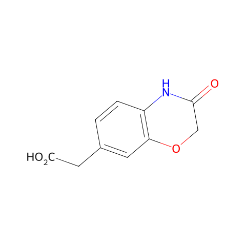 O=C(O)Cc1ccc2c(c1)OCC(=O)N2